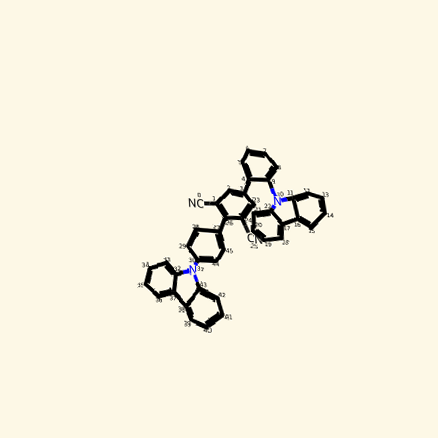 N#Cc1cc(-c2ccccc2-n2c3ccccc3c3ccccc32)cc(C#N)c1-c1ccc(-n2c3ccccc3c3ccccc32)cc1